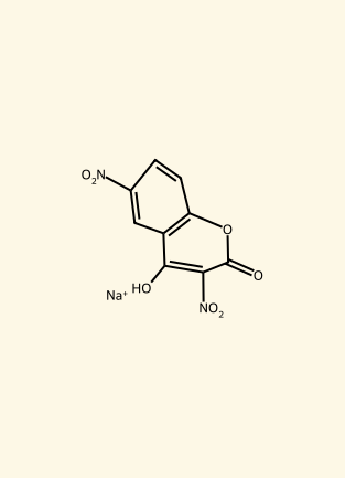 O=c1oc2ccc([N+](=O)[O-])cc2c(O)c1[N+](=O)[O-].[Na+]